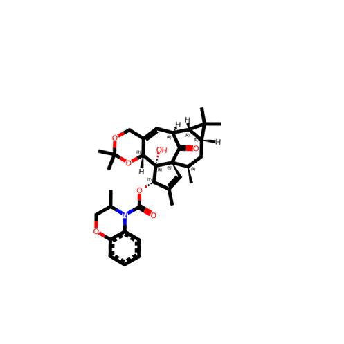 CC1=C[C@]23C(=O)[C@@H](C=C4COC(C)(C)O[C@H]4[C@]2(O)[C@H]1OC(=O)N1c2ccccc2OCC1C)[C@H]1[C@@H](C[C@H]3C)C1(C)C